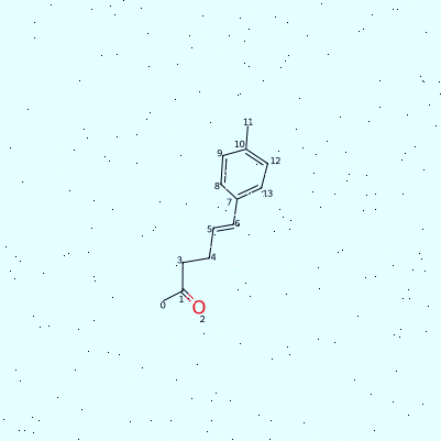 CC(=O)CCC=Cc1ccc(C)cc1